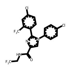 O=C(NCC(F)(F)F)c1cn(-c2ccc(Cl)cc2)c(-c2ccc(Cl)cc2C(F)(F)F)n1